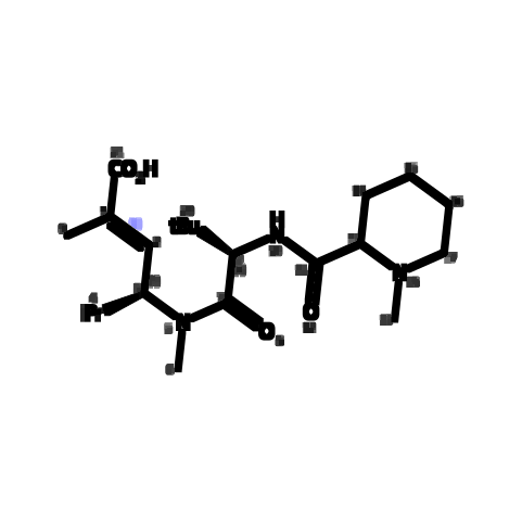 C/C(=C\[C@H](C(C)C)N(C)C(=O)[C@H](NC(=O)C1CCCCN1C)C(C)(C)C)C(=O)O